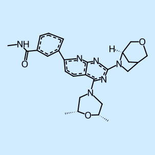 CNC(=O)c1cccc(-c2ccc3c(N4C[C@@H](C)O[C@@H](C)C4)nc(N4CC5COC[C@H]4C5)nc3n2)c1